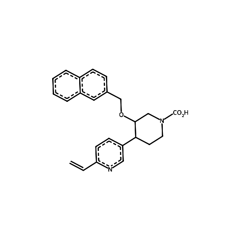 C=Cc1ccc(C2CCN(C(=O)O)CC2OCc2ccc3ccccc3c2)cn1